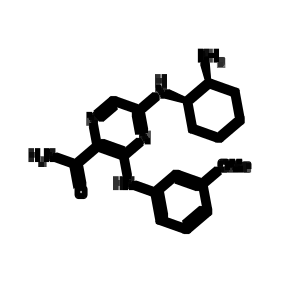 COc1cccc(Nc2nc(N[C@@H]3CCCC[C@@H]3N)cnc2C(N)=O)c1